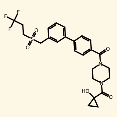 O=C(c1ccc(-c2cccc(CS(=O)(=O)CCC(F)(F)F)c2)cc1)N1CCN(C(=O)C2(O)CC2)CC1